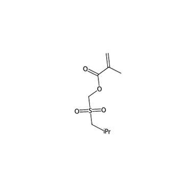 C=C(C)C(=O)OCS(=O)(=O)CC(C)C